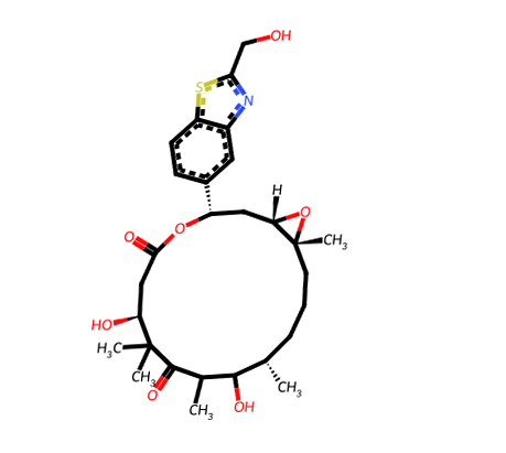 CC1C(=O)C(C)(C)[C@@H](O)CC(=O)O[C@H](c2ccc3sc(CO)nc3c2)C[C@@H]2O[C@]2(C)CCC[C@H](C)C1O